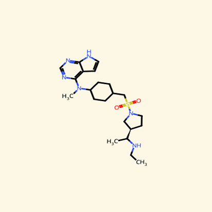 CCNC(C)[C@@H]1CCN(S(=O)(=O)CC2CCC(N(C)c3ncnc4[nH]ccc34)CC2)C1